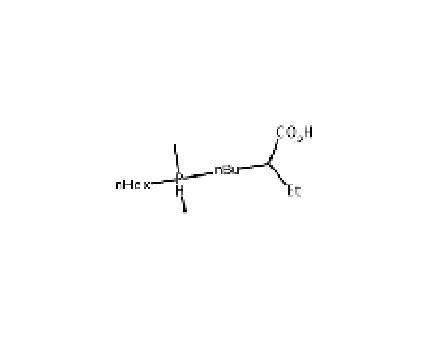 CCCCC(CC)C(=O)O.CCCCCC[PH](C)(C)C